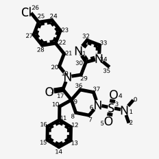 CN(C)S(=O)(=O)N1CCC(Cc2ccccc2)(C(=O)N(CCc2ccc(Cl)cc2)Cc2nccn2C)CC1